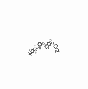 COc1cc2c(Oc3cccc(NC(=O)Nc4cc(C(C)(C)C)on4)c3)ncnc2cc1OC1CCN(CC(F)F)CC1